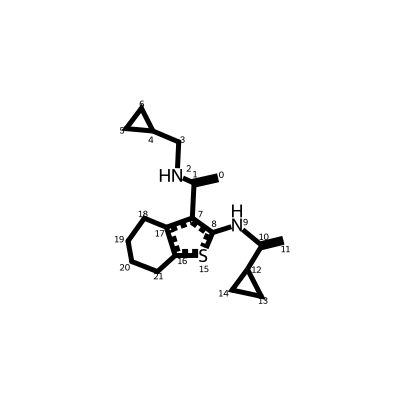 C=C(NCC1CC1)c1c(NC(=C)C2CC2)sc2c1CCCC2